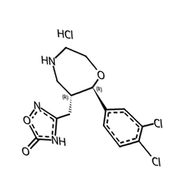 Cl.O=c1[nH]c(C[C@@H]2CNCCO[C@H]2c2ccc(Cl)c(Cl)c2)no1